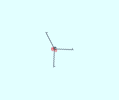 CC(C)CCCCCCCCCCCCCC[C](=O)[Ti]([C](=O)CCCCCCCCCCCCCCC(C)C)([C](=O)CCCCCCCCCCCCCCC(C)C)[CH](C)C